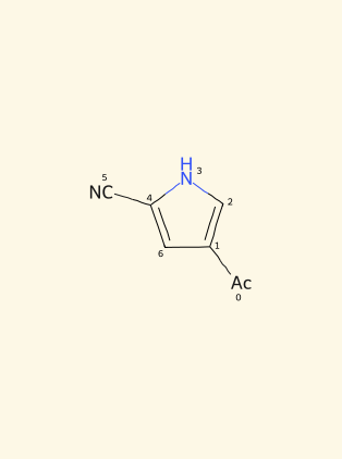 CC(=O)c1c[nH]c(C#N)c1